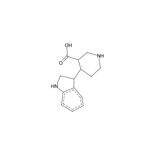 O=C(O)C1CNCCC1C1CNc2ccccc21